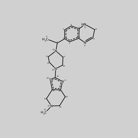 CC(c1ccc2c(c1)N=CCN2)N1CCN(c2nc3c(s2)CN(C)CC3)CC1